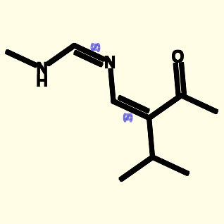 CN/C=N\C=C(/C(C)=O)C(C)C